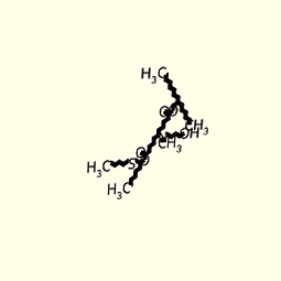 CCCCCCCCC(CCCCCC)COC(=O)CCCCC(CCCCC(=O)OC(CCCCCC)CSCCCCCC)N(C)CCCCO